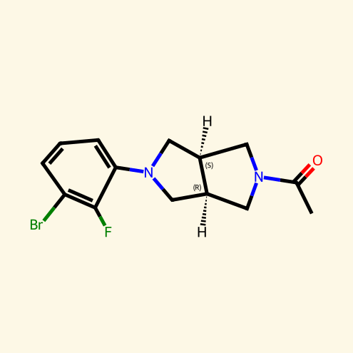 CC(=O)N1C[C@@H]2CN(c3cccc(Br)c3F)C[C@@H]2C1